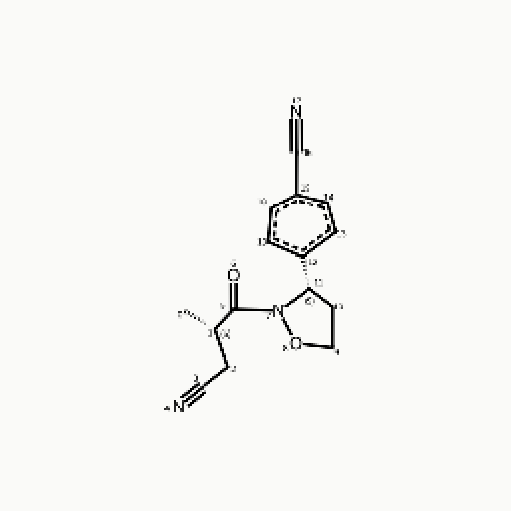 C[C@@H](CC#N)C(=O)N1OCC[C@H]1c1ccc(C#N)cc1